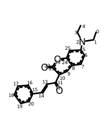 CCN(CC)c1ccc2cc(C(=O)C=Cc3ccccc3)c(=O)oc2c1